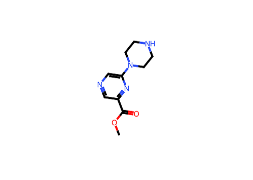 COC(=O)c1cncc(N2CCNCC2)n1